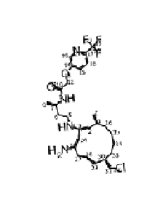 C=C1/C=C(NCCC(=C)NC(=O)COc2ccc(C(F)(F)F)nc2)/C=C(\N)C/C=C/C(=C/Cl)CCCC1